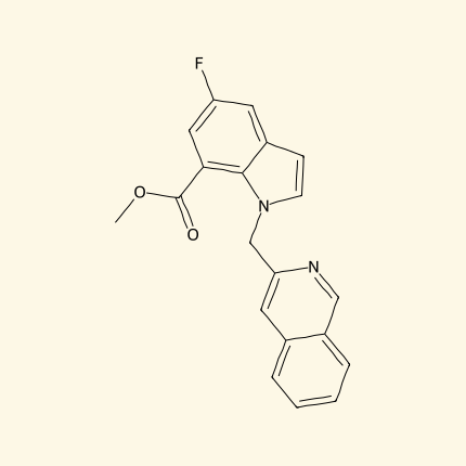 COC(=O)c1cc(F)cc2ccn(Cc3cc4ccccc4cn3)c12